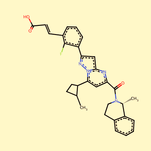 CC1CCC1c1cc(C(=O)N2CCc3ccccc3[C@H]2C)nc2cc(-c3cccc(/C=C/C(=O)O)c3F)nn12